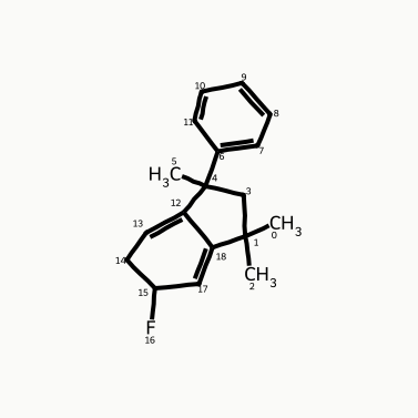 CC1(C)CC(C)(c2ccccc2)C2=CCC(F)C=C21